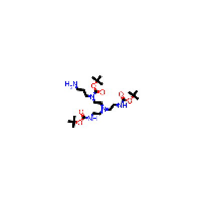 CC(C)(C)OC(=O)NCCN(CCNC(=O)OC(C)(C)C)CCN(CCCN)C(=O)OC(C)(C)C